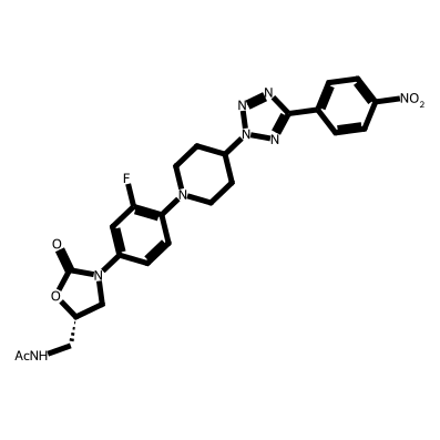 CC(=O)NC[C@H]1CN(c2ccc(N3CCC(n4nnc(-c5ccc([N+](=O)[O-])cc5)n4)CC3)c(F)c2)C(=O)O1